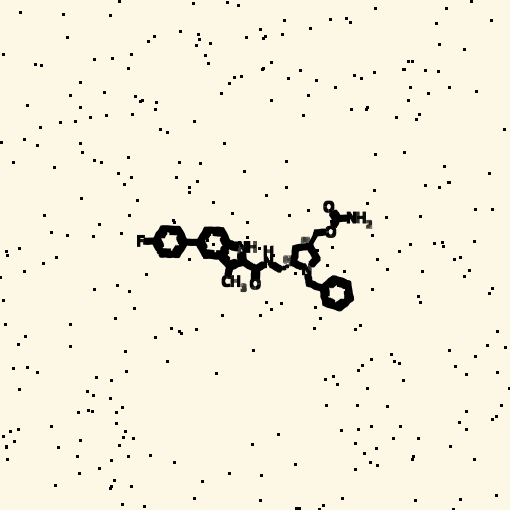 Cc1c(C(=O)NC[C@@H]2C[C@@H](COC(N)=O)CN2Cc2ccccc2)[nH]c2ccc(-c3ccc(F)cc3)cc12